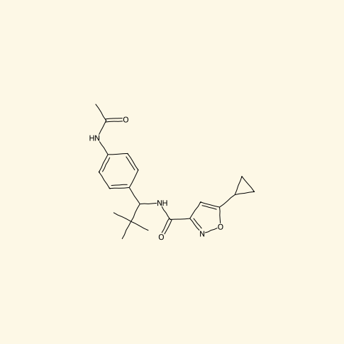 CC(=O)Nc1ccc(C(NC(=O)c2cc(C3CC3)on2)C(C)(C)C)cc1